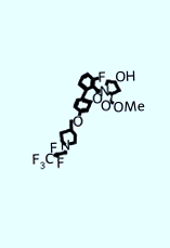 COC(=O)[C@@H]1C[C@@H](O)CN1C(=O)c1c(F)cccc1-c1ccc(OCC2CCN(CC(F)(F)C(F)(F)F)CC2)cc1